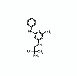 CC(C)(N)CNc1nc(Nc2ccccc2)nc(C(Cl)(Cl)Cl)n1